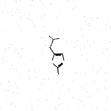 Br.CC(C)c1ncc(CC(N)C(F)(F)F)[nH]1